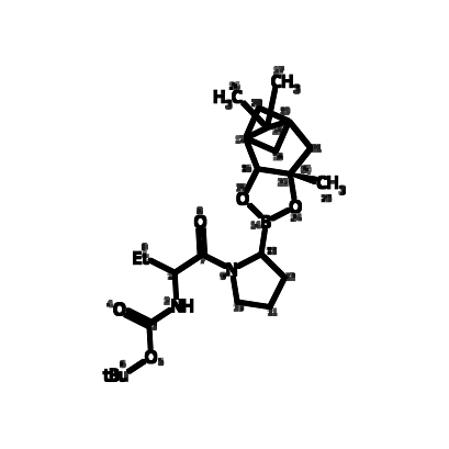 CCC(NC(=O)OC(C)(C)C)C(=O)N1CCCC1B1OC2C34CC(C3)(C[C@]2(C)O1)C4(C)C